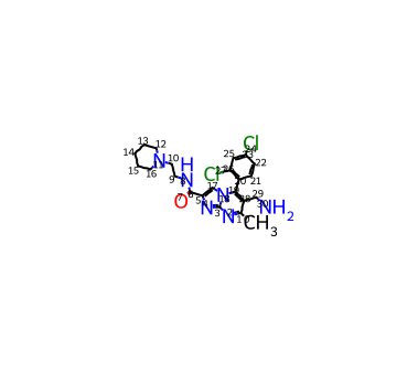 Cc1nc2nc(C(=O)NCCN3CCCCC3)cn2c(-c2ccc(Cl)cc2Cl)c1CN